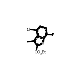 CCOC(=O)c1sc2c(F)ccc(Cl)c2c1C